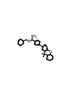 CC1(C)c2ccccc2Oc2ccc(-c3ccc(C(N)OCc4ccccc4)cc3)cc21